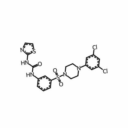 O=C(Nc1cccc(S(=O)(=O)N2CCN(c3cc(Cl)cc(Cl)c3)CC2)c1)Nc1nccs1